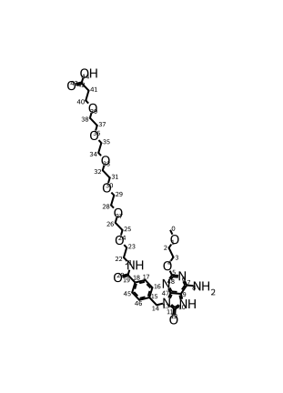 COCCOc1nc(N)c2[nH]c(=O)n(Cc3ccc(C(=O)NCCOCCOCCOCCOCCOCCOCCC(=O)O)cc3)c2n1